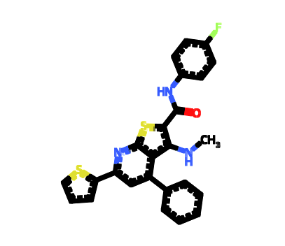 CNc1c(C(=O)Nc2ccc(F)cc2)sc2nc(-c3cccs3)cc(-c3ccccc3)c12